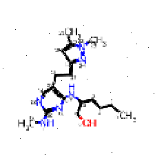 CCCCC(CO)Nc1nc(NC)ncc1CCc1cc(C)n(C)n1